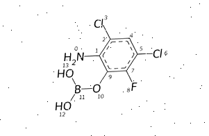 Nc1c(Cl)cc(Cl)c(F)c1OB(O)O